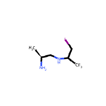 C[C@H](N)CNC(CI)C(F)(F)F